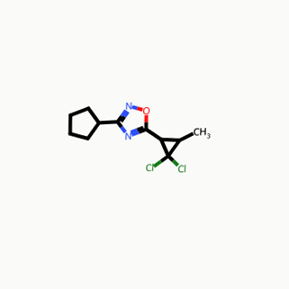 CC1C(c2nc(C3CCCC3)no2)C1(Cl)Cl